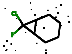 FC1(Cl)C2CCCCC21